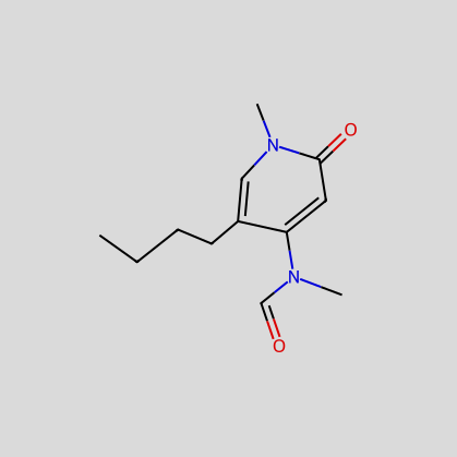 CCCCc1cn(C)c(=O)cc1N(C)C=O